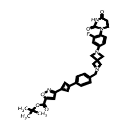 CC(C)(C)OC(=O)c1cc(C23CC(c4ccc(CN5CC6(C5)CN(c5ccc(N7CCC(=O)NC7=O)c(F)c5)C6)cc4)(C2)C3)no1